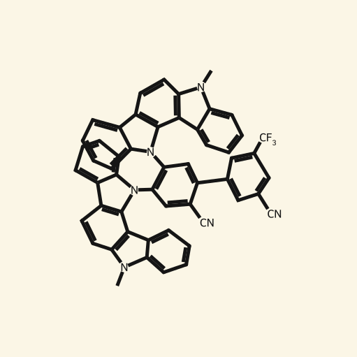 Cn1c2ccccc2c2c1ccc1c3ccccc3n(-c3cc(C#N)c(-c4cc(C#N)cc(C(F)(F)F)c4)cc3-n3c4ccccc4c4ccc5c(c6ccccc6n5C)c43)c12